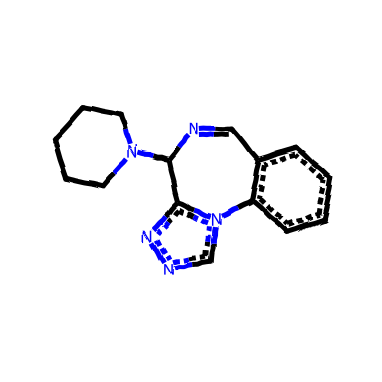 C1=NC(N2CCCCC2)c2nncn2-c2ccccc21